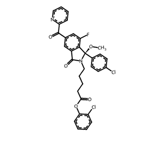 CO[C@]1(c2ccc(Cl)cc2)c2c(F)cc(C(=O)c3ccccn3)cc2C(=O)N1CCCCC(=O)Oc1ccccc1Cl